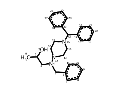 CC(O)CN(Cc1ccccc1)N1CCN(C(c2ccccc2)c2ccccc2)CC1